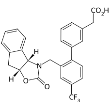 O=C(O)Cc1cccc(-c2ccc(C(F)(F)F)cc2CN2C(=O)O[C@@H]3Cc4ccccc4[C@@H]32)c1